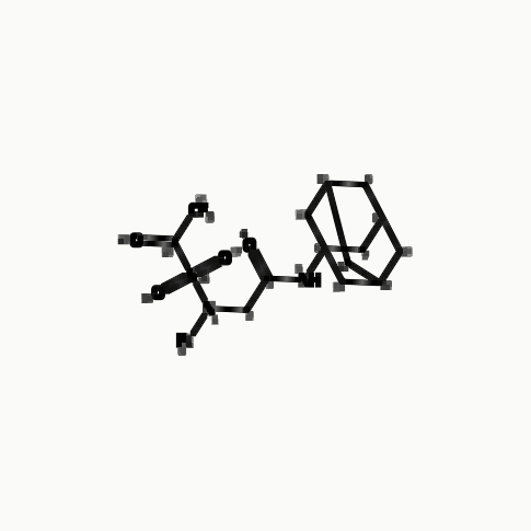 CCN(CC(=O)NC12CC3CC(CC(C3)C1)C2)S(=O)(=O)C(=O)C(F)(F)F